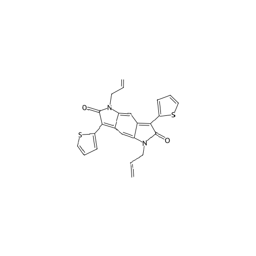 C=CCN1C(=O)C(c2cccs2)=c2cc3c(cc21)=C(c1cccs1)C(=O)N3CC=C